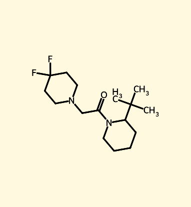 CC(C)(C)C1CCCCN1C(=O)CN1CCC(F)(F)CC1